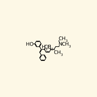 C=C(/C=C\C(=C)C(C)CCN(C)CC)/C(=C\c1ccccc1)c1cccc(O)c1